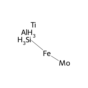 [AlH3].[SiH3][Fe][Mo].[Ti]